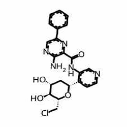 Nc1ncc(-c2ccccc2)nc1C(=O)Nc1cnccc1[C@H]1C[C@@H](O)[C@H](O)[C@@H](CCl)O1